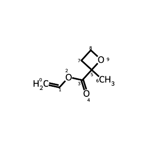 C=COC(=O)C1(C)CCO1